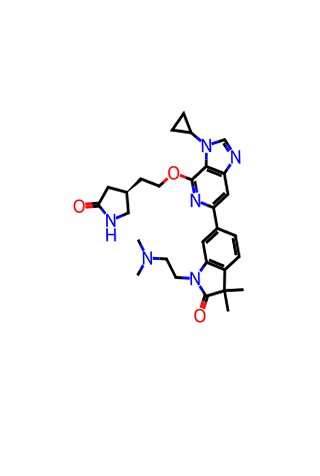 CN(C)CCN1C(=O)C(C)(C)c2ccc(-c3cc4ncn(C5CC5)c4c(OCC[C@H]4CNC(=O)C4)n3)cc21